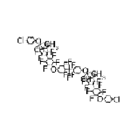 CCC(CC)(Oc1ccc(Cl)cc1)c1c(F)c(F)c(-c2c(F)c(F)c(Oc3ccc(C(c4ccc(OC(CC)(CC)c5c(F)c(F)c(-c6c(F)c(F)c(Oc7ccc(Cl)cc7)c(F)c6F)c(F)c5F)cc4)(C(F)(F)F)C(F)(F)F)cc3)c(F)c2F)c(F)c1F